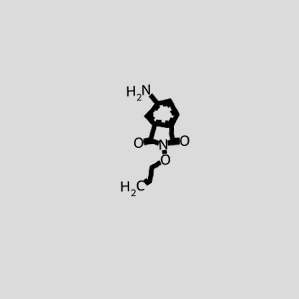 C=CCON1C(=O)c2ccc(N)cc2C1=O